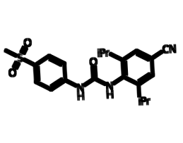 CC(C)c1cc(C#N)cc(C(C)C)c1NC(=O)Nc1ccc(S(C)(=O)=O)cc1